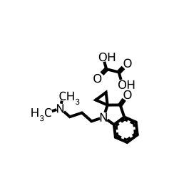 CN(C)CCCN1c2ccccc2C(=O)C12CC2.O=C(O)C(=O)O